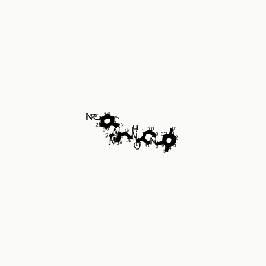 Cc1ccc(C)c(CN2CCCC(C(=O)NCCc3cncn3Cc3ccc(C#N)cc3)C2)c1